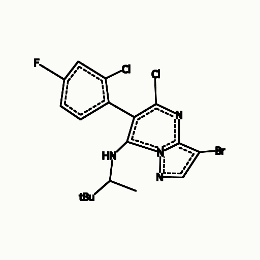 CC(Nc1c(-c2ccc(F)cc2Cl)c(Cl)nc2c(Br)cnn12)C(C)(C)C